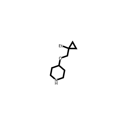 CCC1(COC2CCNCC2)CC1